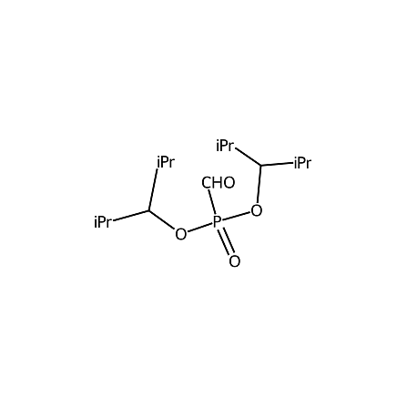 CC(C)C(OP(=O)(C=O)OC(C(C)C)C(C)C)C(C)C